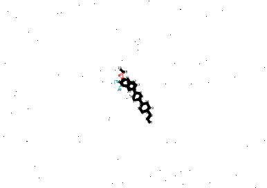 CCCC1CCC(C2CCC(c3ccc4cc(OCC)c(F)c(F)c4c3)CC2)CC1